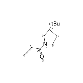 C=CC(=O)N1CCC(C(C)(C)C)C1